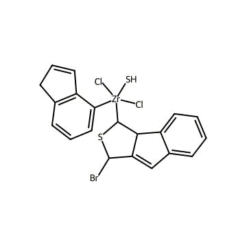 [SH][Zr]([Cl])([Cl])([c]1cccc2c1C=CC2)[CH]1SC(Br)C2=Cc3ccccc3C21